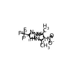 Cc1n[nH]c(C)c1[N+](=O)[O-].FC(F)(F)c1cc[nH]n1